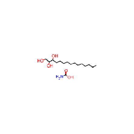 CCCCCCCCCCCCC(O)C(O)CO.NC(=O)O